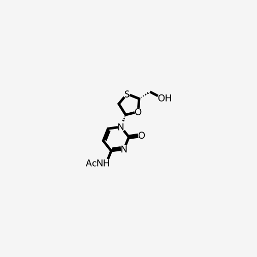 CC(=O)Nc1ccn([C@@H]2CS[C@H](CO)O2)c(=O)n1